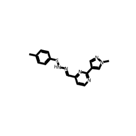 Cc1ccc(SN/N=C/c2ccnc(-c3cnn(C)c3)n2)cc1